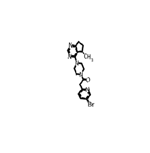 C[C@@H]1CCc2ncnc(N3CCN(C(=O)Cc4ccc(Br)cn4)CC3)c21